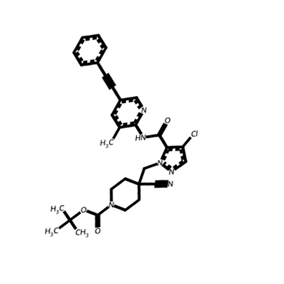 Cc1cc(C#Cc2ccccc2)cnc1NC(=O)c1c(Cl)cnn1CC1(C#N)CCN(C(=O)OC(C)(C)C)CC1